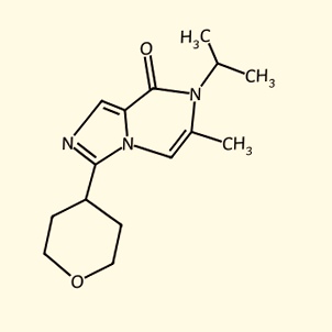 Cc1cn2c(C3CCOCC3)ncc2c(=O)n1C(C)C